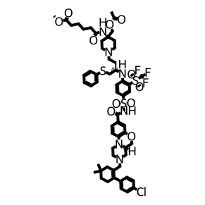 COC(=O)CCCCC(=O)NC1(COC(C)=O)CCN(CC[C@H](CSc2ccccc2)Nc2ccc(S(=O)(=O)NC(=O)c3ccc4c(c3)OC[C@@H]3CN(CC5=C(c6ccc(Cl)cc6)CCC(C)(C)C5)CCN43)cc2S(=O)(=O)C(F)(F)F)CC1